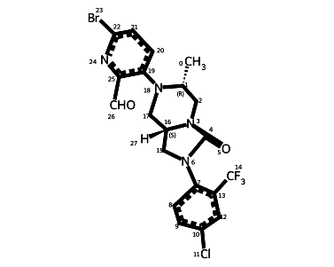 C[C@@H]1CN2C(=O)N(c3ccc(Cl)cc3C(F)(F)F)C[C@@H]2CN1c1ccc(Br)nc1C=O